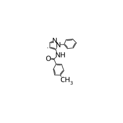 Cc1ccc(C(=O)Nc2[c]cnn2-c2ccccc2)cc1